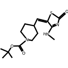 CNC1=NC(=O)SC1=CC1CCN(C(=O)OC(C)(C)C)CC1